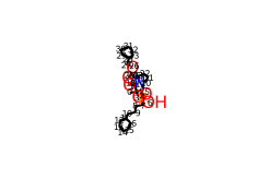 CC(C)(OP(=O)(O)CCCCc1ccccc1)C(=O)N1CCC[C@H]1C(=O)OCc1ccccc1